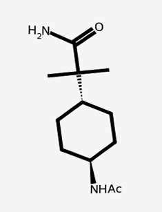 CC(=O)N[C@H]1CC[C@H](C(C)(C)C(N)=O)CC1